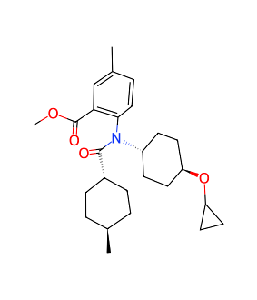 COC(=O)c1cc(C)ccc1N(C(=O)[C@H]1CC[C@H](C)CC1)[C@H]1CC[C@H](OC2CC2)CC1